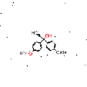 C#CC(O)(c1ccc(OC)cc1)c1ccc(OCCC)cc1